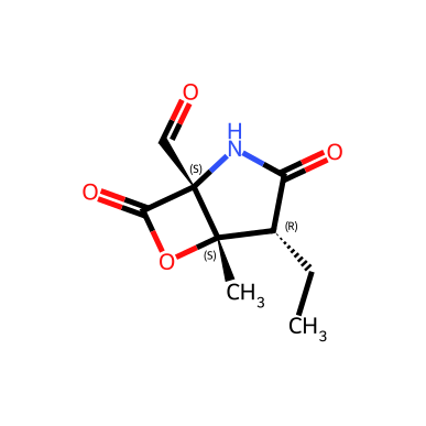 CC[C@H]1C(=O)N[C@@]2(C=O)C(=O)O[C@@]12C